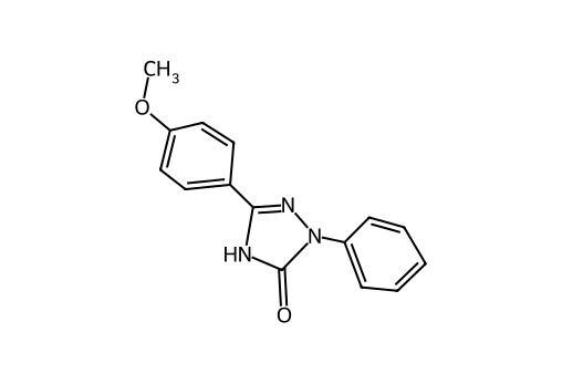 COc1ccc(-c2nn(-c3ccccc3)c(=O)[nH]2)cc1